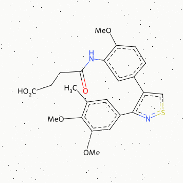 COc1ccc(-c2csnc2-c2cc(C)c(OC)c(OC)c2)cc1NC(=O)CCC(=O)O